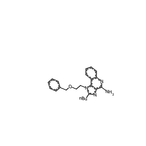 CCCCc1nc2c(N)nc3ccccc3c2n1CCOCc1ccccc1